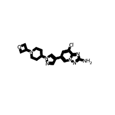 Nc1nc2c(Cl)cc(-c3cnn(C4CCN(C5COC5)CC4)c3)cn2n1